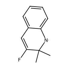 CC1(C)[N]c2ccccc2C=C1F